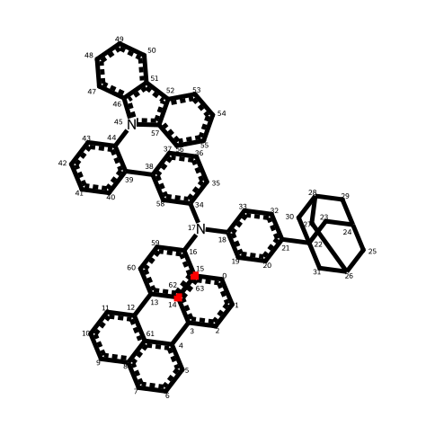 c1ccc(-c2cccc3cccc(-c4ccc(N(c5ccc(C67CC8CC(CC(C8)C6)C7)cc5)c5cccc(-c6ccccc6-n6c7ccccc7c7ccccc76)c5)cc4)c23)cc1